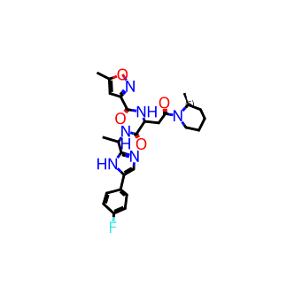 Cc1cc(C(=O)NC(CC(=O)N2CCCC[C@@H]2C)C(=O)NC(C)c2ncc(-c3ccc(F)cc3)[nH]2)no1